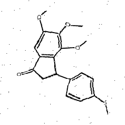 COc1cc2c(c(OC)c1OC)C(c1ccc(SC)cc1)CC2=O